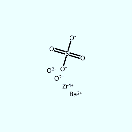 O=S(=O)([O-])[O-].[Ba+2].[O-2].[O-2].[Zr+4]